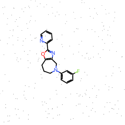 Fc1cccc(N2CCCc3oc(-c4ccccn4)nc3C2)c1